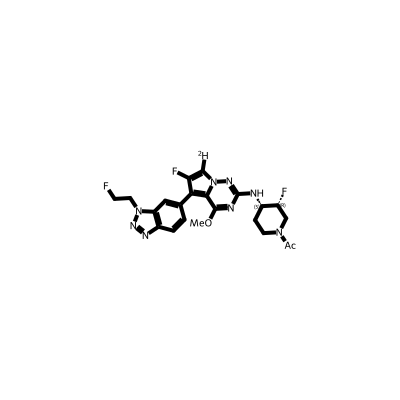 [2H]c1c(F)c(-c2ccc3nnn(CCF)c3c2)c2c(OC)nc(N[C@H]3CCN(C(C)=O)C[C@H]3F)nn12